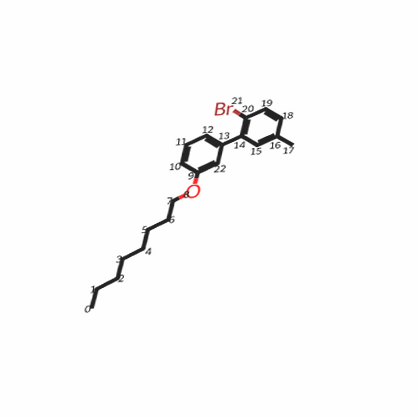 CCCCCCCCOc1cccc(-c2cc(C)ccc2Br)c1